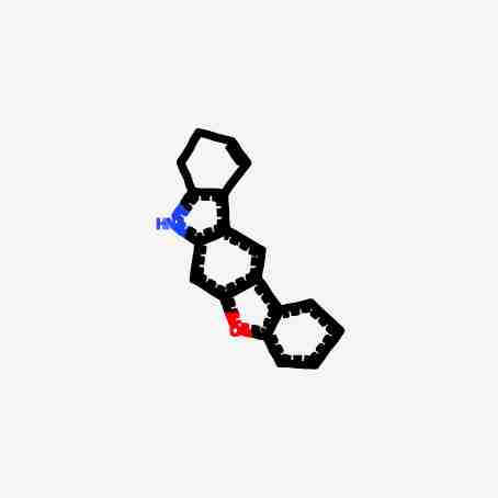 C1=Cc2c([nH]c3cc4oc5ccccc5c4cc23)CC1